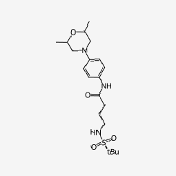 CC1CN(c2ccc(NC(=O)CCCNS(=O)(=O)C(C)(C)C)cc2)CC(C)O1